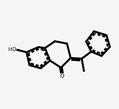 CC(=C1CCc2cc(O)ccc2C1=O)c1ccccc1